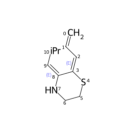 C=C/C=C1/SCCN/C1=C/C(C)C